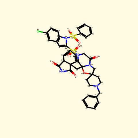 O=C1NC(=O)C2(CC34CN(S(=O)(=O)c5cc6cc(Cl)ccc6n5S(=O)(=O)c5ccccc5)CC(=O)N3CC3(CCN(Cc5ccccc5)CC3)O4)C=CC=CC12